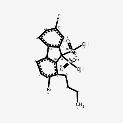 CCCCc1c(Br)ccc2c1C(S(=O)(=O)O)(S(=O)(=O)O)c1cc(Br)ccc1-2